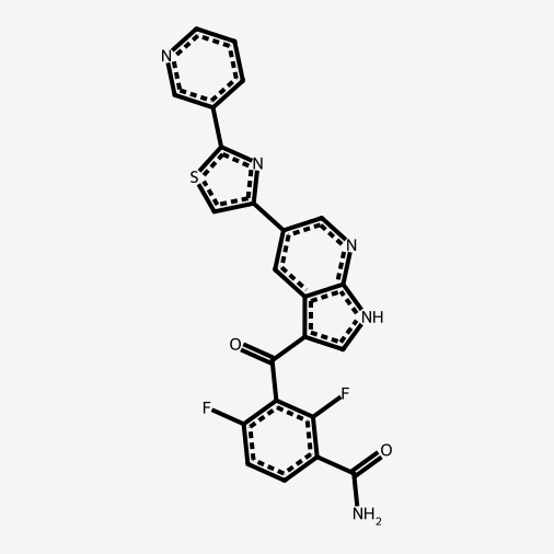 NC(=O)c1ccc(F)c(C(=O)c2c[nH]c3ncc(-c4csc(-c5cccnc5)n4)cc23)c1F